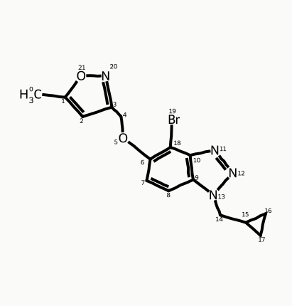 Cc1cc(COc2ccc3c(nnn3CC3CC3)c2Br)no1